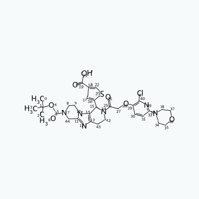 CC(C)(C)OC(=O)N1CCn2c(nc3c2C(c2cc(C(=O)O)cs2)N(C(=O)COc2ccc(N4CCOCC4)nc2Cl)CC3)C1